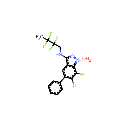 Fc1c(Cl)c(-c2ccccc2)cc2c(NCC(F)(F)C(F)(F)C(F)(F)F)n[nH]c12.O